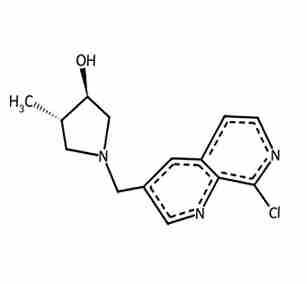 C[C@H]1CN(Cc2cnc3c(Cl)nccc3c2)C[C@@H]1O